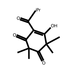 CC(C)C(=O)C1=C(O)C(C)(C)C(=O)C(C)(C)C1=O